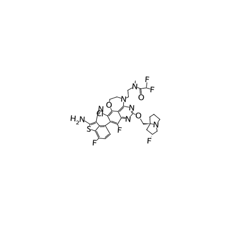 CN(CCN1CCOc2c(Cl)c(-c3ccc(F)c4sc(N)c(C#N)c34)c(F)c3nc(OC[C@@]45CCCN4C[C@H](F)C5)nc1c23)C(=O)C(F)F